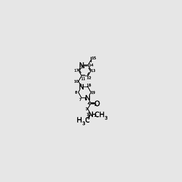 CN(C)CC(=O)N1CCN(Cc2ccc(I)nc2)CC1